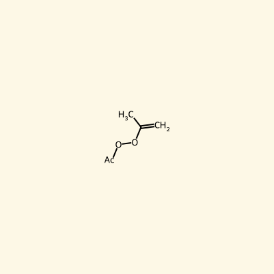 C=C(C)OOC(C)=O